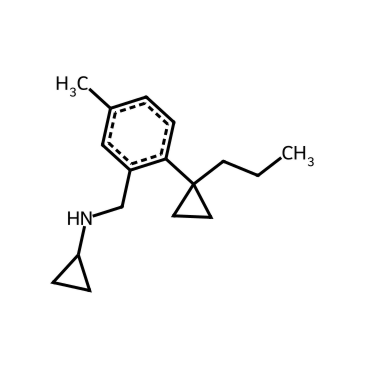 CCCC1(c2ccc(C)cc2CNC2CC2)CC1